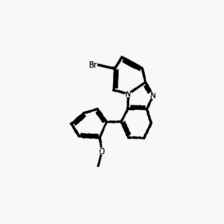 COc1ccccc1C1=CCCc2nc3ccc(Br)cn3c21